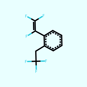 FC(F)=C(F)c1ccccc1CC(F)(F)F